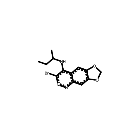 CCC(C)Nc1c(Br)nnc2cc3c(cc12)OCO3